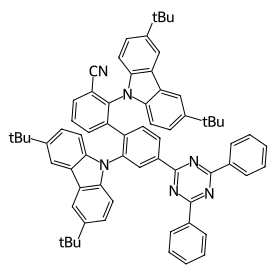 CC(C)(C)c1ccc2c(c1)c1cc(C(C)(C)C)ccc1n2-c1cc(-c2nc(-c3ccccc3)nc(-c3ccccc3)n2)ccc1-c1cccc(C#N)c1-n1c2ccc(C(C)(C)C)cc2c2cc(C(C)(C)C)ccc21